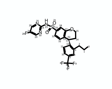 CCCc1cc(C(F)(F)F)ccc1[C@@H]1CCOc2cc(S(=O)(=O)Nc3ncc(F)cn3)ccc21